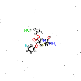 C=CCOC(=O)C1(COc2cccc(F)c2)CS[C@@H]2C(N)C(=O)N2C1.Cl